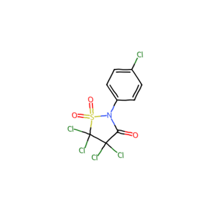 O=C1N(c2ccc(Cl)cc2)S(=O)(=O)C(Cl)(Cl)C1(Cl)Cl